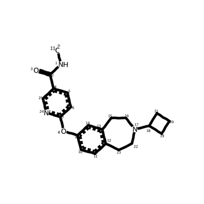 [11CH3]NC(=O)c1ccc(Oc2ccc3c(c2)CCN(C2CCC2)CC3)nc1